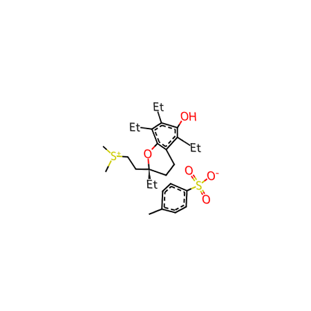 CCc1c(O)c(CC)c2c(c1CC)O[C@@](CC)(CC[S+](C)C)CC2.Cc1ccc(S(=O)(=O)[O-])cc1